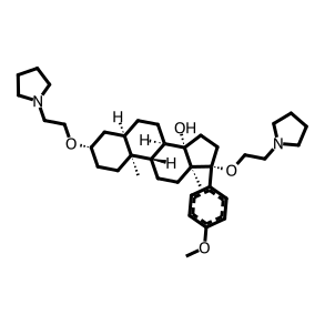 COc1ccc([C@]2(OCCN3CCCC3)CC[C@]3(O)[C@@H]4CC[C@@H]5C[C@@H](OCCN6CCCC6)CC[C@]5(C)[C@H]4CC[C@]23C)cc1